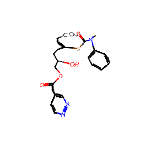 CCOC(=O)CC(C[C@@H](O)COC(=O)c1ccnnc1)SC(=O)N(C)c1ccccc1